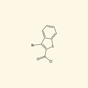 O=C(Cl)c1sc2ccccc2c1Br